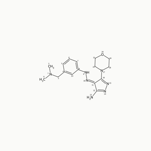 CN(C)Cc1cccc(N/N=C2/C(N)=NN=C2N2CCOCC2)c1